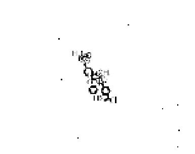 CS(=O)(=O)OCC1CCN(C(=O)[C@@H](N(C(=O)c2ccc3c(Cl)c[nH]c3c2)c2ccccc2)S(C)(=O)=O)CC1